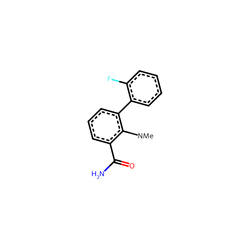 CNc1c(C(N)=O)cccc1-c1ccccc1F